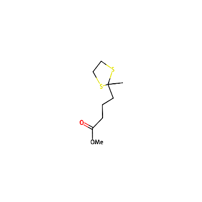 COC(=O)CCCC1(C)SCCS1